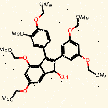 COCOc1cc(OCOC)cc(C2=C(c3ccc(OCOC)c(OC)c3)c3c(OCOC)cc(OCOC)cc3C2O)c1